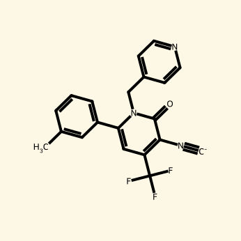 [C-]#[N+]c1c(C(F)(F)F)cc(-c2cccc(C)c2)n(Cc2ccncc2)c1=O